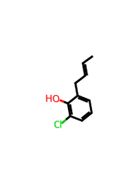 CC=CCc1cccc(Cl)c1O